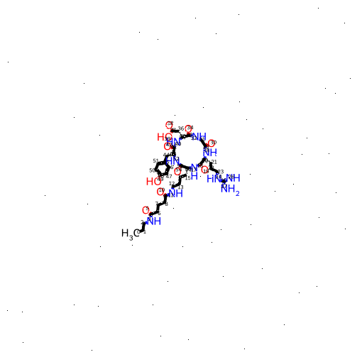 CCCNC(=O)CCCC(=O)NCCCC[C@H]1NC(=O)[C@@H](CCCNC(=N)N)NC(=O)CNC(=O)[C@@H](CC(=O)O)NC(=O)[C@H](Cc2ccc(O)cc2)NC1=O